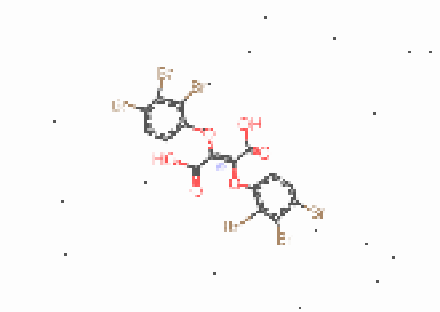 O=C(O)/C(Oc1ccc(Br)c(Br)c1Br)=C(\Oc1ccc(Br)c(Br)c1Br)C(=O)O